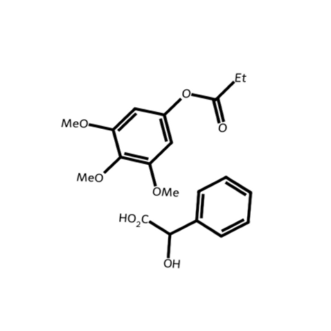 CCC(=O)Oc1cc(OC)c(OC)c(OC)c1.O=C(O)C(O)c1ccccc1